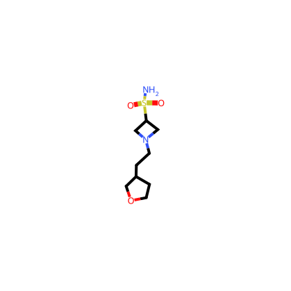 NS(=O)(=O)C1CN(CCC2CCOC2)C1